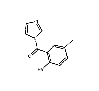 Cc1ccc(S)c(C(=O)n2ccnc2)c1